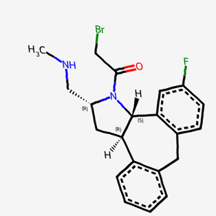 CNC[C@H]1C[C@@H]2c3ccccc3Cc3ccc(F)cc3[C@H]2N1C(=O)CBr